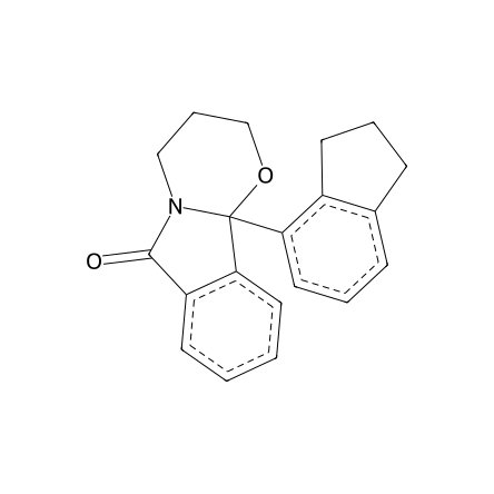 O=C1c2ccccc2C2(c3cccc4c3CCC4)OCCCN12